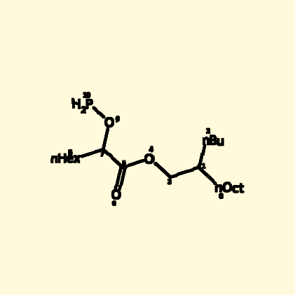 CCCCCCCCC(CCCC)COC(=O)C(CCCCCC)OP